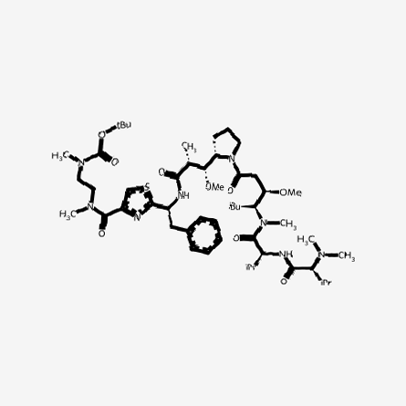 CC[C@H](C)[C@@H]([C@@H](CC(=O)N1CCC[C@H]1[C@H](OC)[C@@H](C)C(=O)N[C@@H](Cc1ccccc1)c1nc(C(=O)N(C)CCN(C)C(=O)OC(C)(C)C)cs1)OC)N(C)C(=O)[C@@H](NC(=O)[C@H](C(C)C)N(C)C)C(C)C